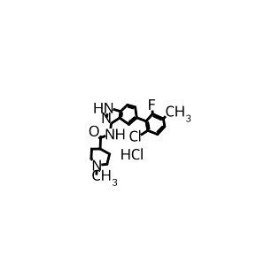 Cc1ccc(Cl)c(-c2ccc3[nH]nc(NC(=O)C4CCN(C)CC4)c3c2)c1F.Cl